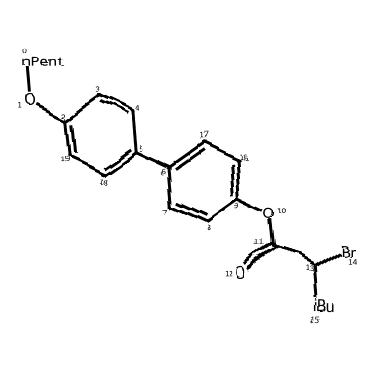 CCCCCOc1ccc(-c2ccc(OC(=O)C(Br)C(C)CC)cc2)cc1